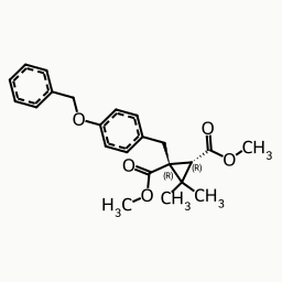 COC(=O)[C@@H]1C(C)(C)[C@]1(Cc1ccc(OCc2ccccc2)cc1)C(=O)OC